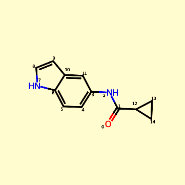 O=C(Nc1ccc2[nH]ccc2c1)C1CC1